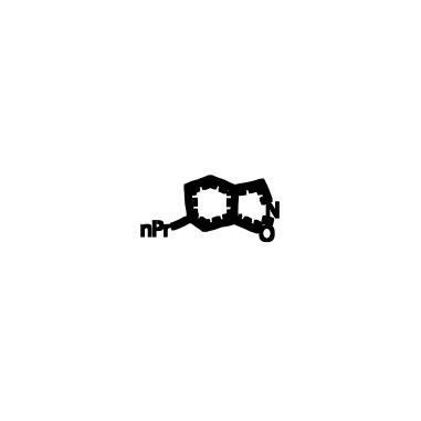 CCCc1ccc2cnoc2c1